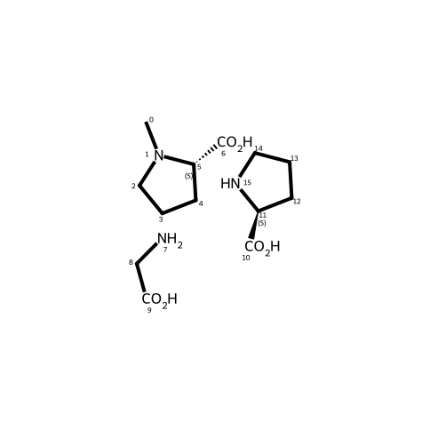 CN1CCC[C@H]1C(=O)O.NCC(=O)O.O=C(O)[C@@H]1CCCN1